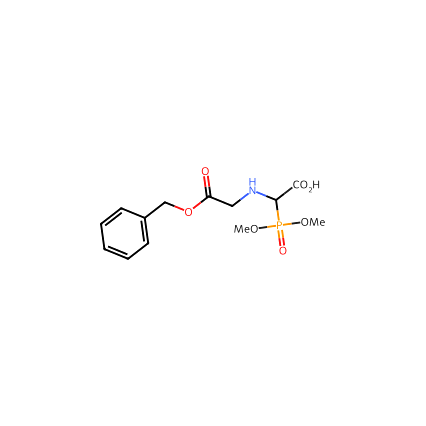 COP(=O)(OC)C(NCC(=O)OCc1ccccc1)C(=O)O